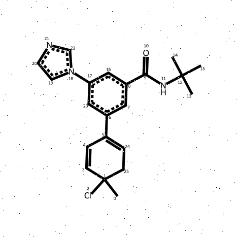 CC1(Cl)C=CC(c2cc(C(=O)NC(C)(C)C)cc(-n3ccnc3)c2)=CC1